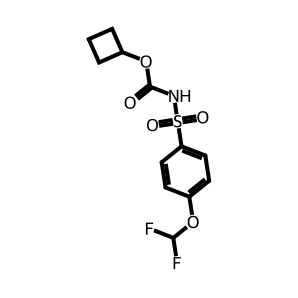 O=C(NS(=O)(=O)c1ccc(OC(F)F)cc1)OC1CCC1